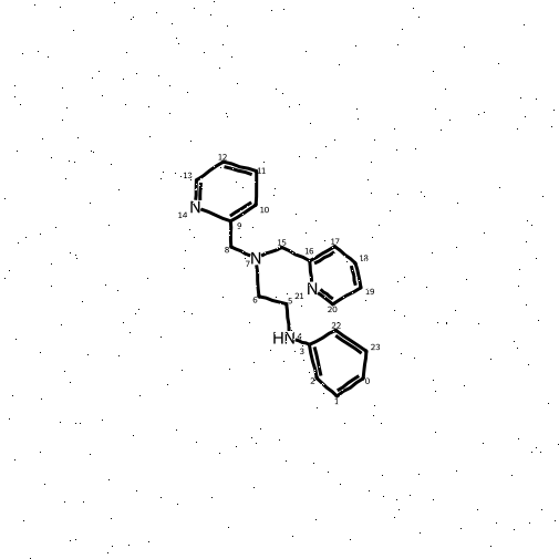 c1ccc(NCCN(Cc2ccccn2)Cc2ccccn2)cc1